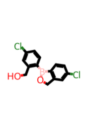 OCc1cc(Cl)ccc1B1OCc2cc(Cl)ccc21